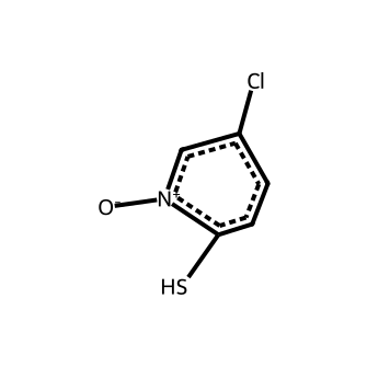 [O-][n+]1cc(Cl)ccc1S